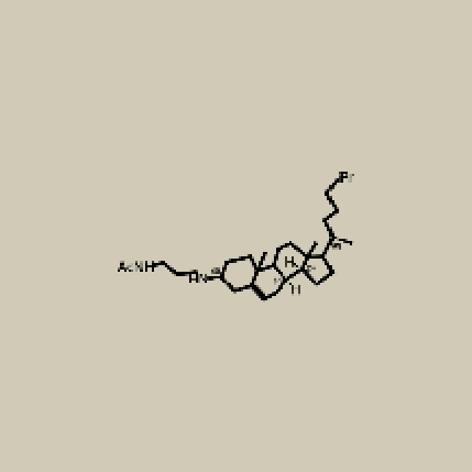 CC(=O)NCCCN[C@H]1CCC2(C)C(=CC[C@H]3C2CCC2(C)C([C@H](C)CCCC(C)C)CC[C@@H]32)C1